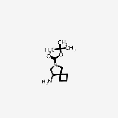 CC(C)(C)OC(=O)N1CC(N)C2(CCC2)C1